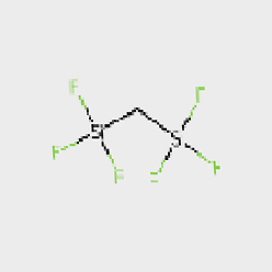 F[Si](F)(F)C[Si](F)(F)F